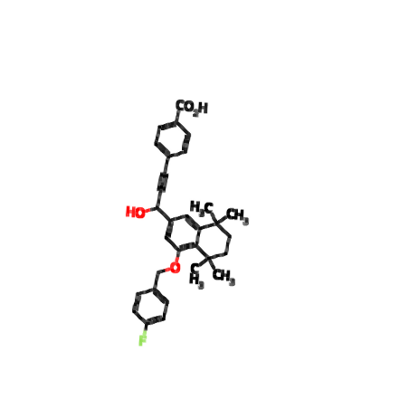 CC1(C)CCC(C)(C)c2c(OCc3ccc(F)cc3)cc(C(O)C#Cc3ccc(C(=O)O)cc3)cc21